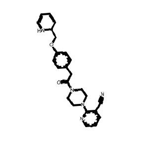 N#Cc1cccnc1N1CCN(C(=O)Cc2ccc(OCC3C=CC=CN3)cc2)CC1